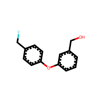 OCc1cccc(Oc2ccc(CF)cc2)c1